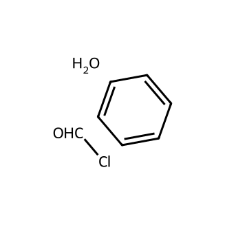 O.O=CCl.c1ccccc1